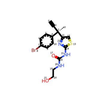 C#C[C@](C)(c1ccc(Br)cc1)c1csc(NC(=O)NCCO)n1